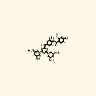 N[C@@H]1C[C@H](N)CN(c2nc(Nc3ccc(NC(=O)c4ccc(Cl)cc4O)c(Cl)c3)nc(N3C[C@H](N)C[C@H](N)C3)n2)C1